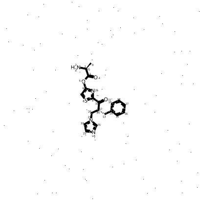 C[C@H](N)C(=O)Oc1csc(C(=O)[C@H](Cc2ccccc2)Cn2ccnc2)n1